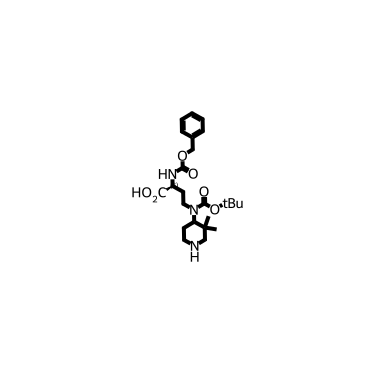 CC(C)(C)OC(=O)N(CC[C@H](NC(=O)OCc1ccccc1)C(=O)O)C1CCNCC1(C)C